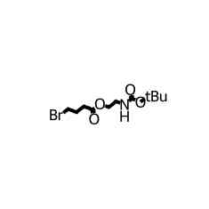 CC(C)(C)OC(=O)NCCOC(=O)CCCBr